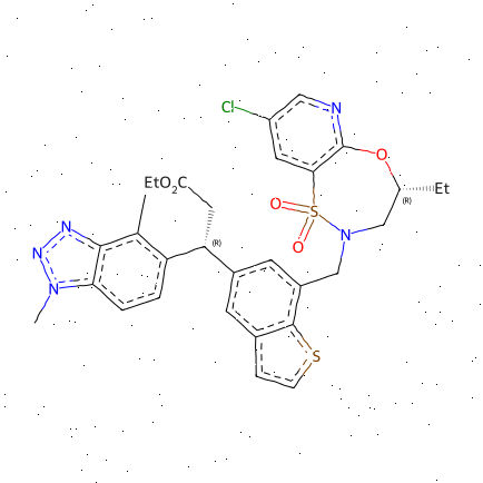 CCOC(=O)C[C@H](c1cc(CN2C[C@@H](CC)Oc3ncc(Cl)cc3S2(=O)=O)c2sccc2c1)c1ccc2c(nnn2C)c1C